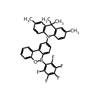 Cc1ccc2c(c1)C(C)(C)c1cc(C)ccc1N2c1ccc2c(c1)-c1ccccc1OB2c1c(F)c(F)c(F)c(F)c1F